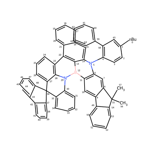 CCCCc1ccc(N2c3cc4c(cc3B3c5c2cc2ccccc2c5-c2cccc5c2N3c2ccccc2C52c3ccccc3-c3ccccc32)-c2ccccc2C4(C)C)c(-c2ccccc2)c1